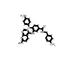 Cc1ccc(CNC(=O)c2ccc(Sc3ccc(N)cc3)c(Nc3ncnc4nc(C(C)C)ccc34)c2)cc1